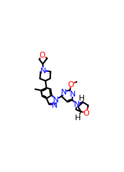 COc1nc(N2C[C@@H]3C[C@H]2CO3)cc(-n2ncc3cc(C)c(C4CCN(C5COC5)CC4)cc32)n1